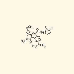 COC1CC2(C1)CN(C)C(=O)c1c(OC(=O)C(C)C)c(=O)c(C(=O)NCc3cccc(Cl)c3F)cn12